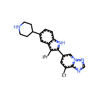 CCc1cc(-c2[nH]c3ccc(C4CCNCC4)cc3c2C(C)C)cn2ncnc12